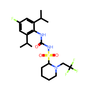 CC(C)c1cc(F)cc(C(C)C)c1NC(=O)NS(=O)(=O)C1CCCCN1CC(F)(F)F